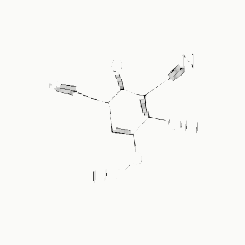 COC1=CC(C#N)C(=O)C(C#N)=C1O